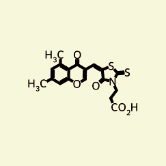 Cc1cc(C)c2c(=O)c(C=C3SC(=S)N(CCC(=O)O)C3=O)coc2c1